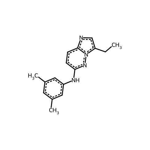 CCc1cnc2ccc(Nc3cc(C)cc(C)c3)nn12